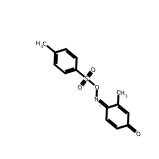 CC1=CC(=O)C=C/C1=N/OS(=O)(=O)c1ccc(C)cc1